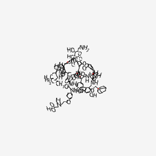 CC[C@H](CC(C)C)C(=O)N[C@H]1C(=O)C[C@@H](CC(=O)NC(=O)Nc2ccc(OCCNCC(=O)O)cc2)C(=O)N[C@H]2C(=O)C[C@H]3C(=O)N[C@H](C(=O)N[C@H](C(=O)CC4C5CC6CC(C5)CC4C6)c4cc(O)cc(O)c4-c4cc3ccc4O)[C@H](O)c3ccc(c(Cl)c3)Oc3cc2cc(c3O[C@@H]2O[C@H](CN)[C@@H](O)[C@H](O)[C@H]2O)Oc2ccc(cc2Cl)[C@H]1O